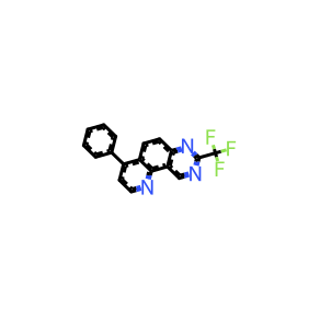 FC(F)(F)c1ncc2c(ccc3c(-c4ccccc4)ccnc32)n1